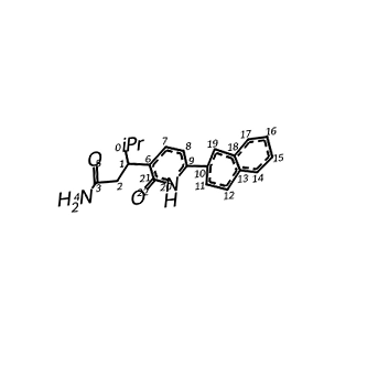 CC(C)C(CC(N)=O)c1ccc(-c2ccc3ccccc3c2)[nH]c1=O